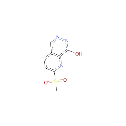 CS(=O)(=O)c1ccc2cnnc(O)c2n1